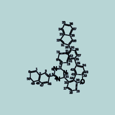 C1=Cc2cc(-c3nc(-c4ccccc4)nc(-c4cccc5oc6ccc(-c7ccc(-c8ccc9ccccc9c8)cc7)cc6c45)n3)ccc2CC1